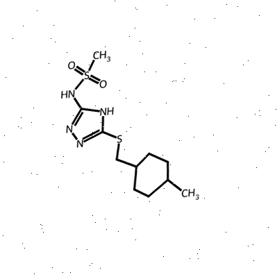 CC1CCC(CSc2nnc(NS(C)(=O)=O)[nH]2)CC1